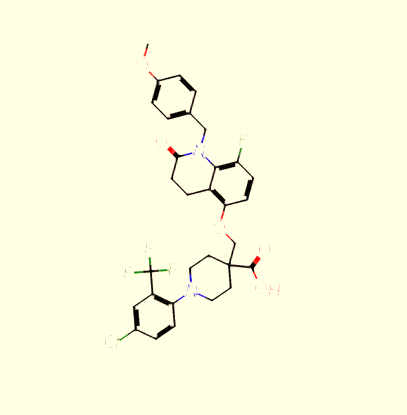 COc1ccc(CN2C(=O)CCc3c(OCC4(C(=O)O)CCN(c5ccc(Cl)cc5C(F)(F)F)CC4)ccc(F)c32)cc1